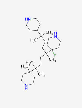 CC(C)(CCC(C)(CCC(C)(C)C1(C)CCNCC1)C1(F)CCNCC1)C1CCNCC1